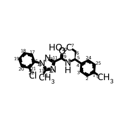 Cc1ccc([C@H](CC(=O)O)NC(=O)c2nc(C)n(-c3ccccc3Cl)n2)cc1